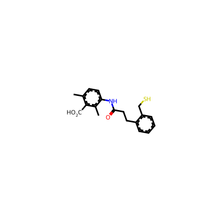 Cc1ccc(NC(=O)CCc2ccccc2CS)c(C)c1C(=O)O